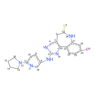 S=C1Cc2cnc(Nc3ccc(N4CCCC4)nc3)nc2-c2ccc(I)cc2N1